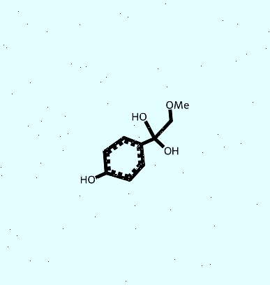 COCC(O)(O)c1ccc(O)cc1